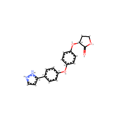 O=C1OCC[C@@H]1Oc1ccc(Oc2ccc(-c3ccn[nH]3)cc2)cc1